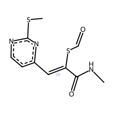 CNC(=O)/C(=C/c1ccnc(SC)n1)SC=O